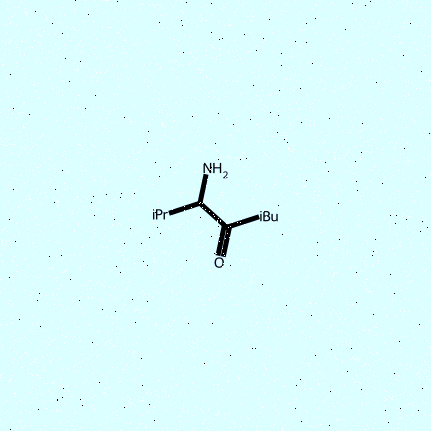 CCC(C)C(=O)C(N)C(C)C